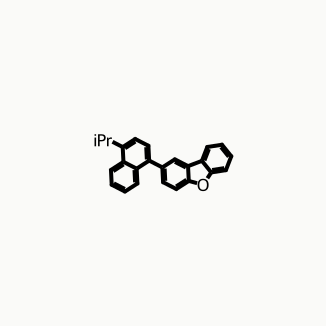 CC(C)c1ccc(-c2ccc3oc4ccccc4c3c2)c2ccccc12